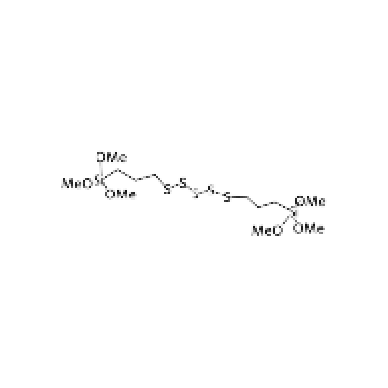 CO[Si](CCCSSSSSCCC[Si](OC)(OC)OC)(OC)OC